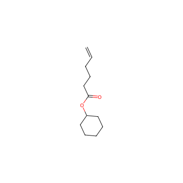 C=CCCCC(=O)OC1CCCCC1